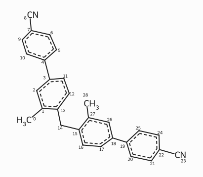 Cc1cc(-c2ccc(C#N)cc2)ccc1Cc1ccc(-c2ccc(C#N)cc2)cc1C